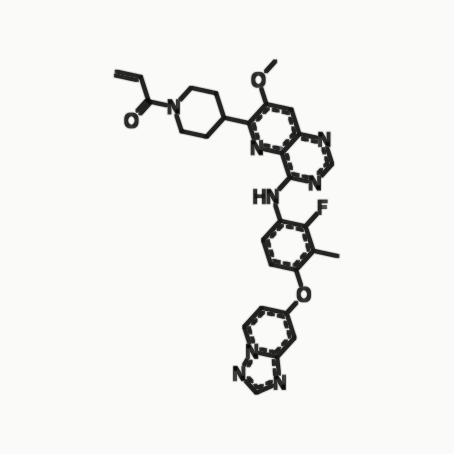 C=CC(=O)N1CCC(c2nc3c(Nc4ccc(Oc5ccn6ncnc6c5)c(C)c4F)ncnc3cc2OC)CC1